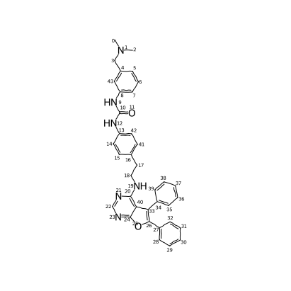 CN(C)Cc1cccc(NC(=O)Nc2ccc(CCNc3ncnc4oc(-c5ccccc5)c(-c5ccccc5)c34)cc2)c1